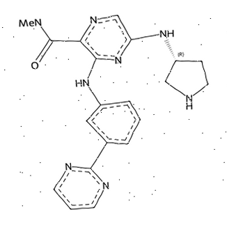 CNC(=O)c1ncc(N[C@@H]2CCNC2)nc1Nc1cccc(-c2ncccn2)c1